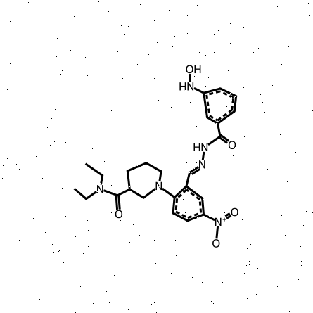 CCN(CC)C(=O)C1CCCN(c2ccc([N+](=O)[O-])cc2/C=N/NC(=O)c2cccc(NO)c2)C1